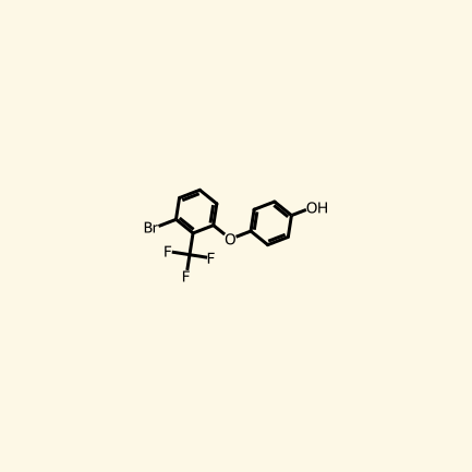 Oc1ccc(Oc2cccc(Br)c2C(F)(F)F)cc1